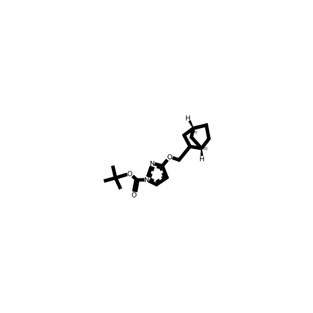 CC(C)(C)OC(=O)n1ccc(OCC2C[C@@H]3CC[C@H]2C3)n1